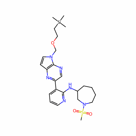 C[Si](C)(C)CCOCn1ccc2nc(-c3cccnc3NC3CCCCN(S(C)(=O)=O)C3)cnc21